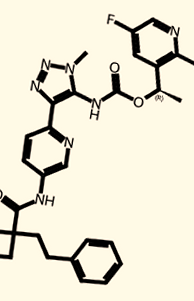 C[C@@H](OC(=O)Nc1c(-c2ccc(NC(=O)C3(CCc4ccccc4)CCC3)cn2)nnn1C)c1cc(F)cnc1F